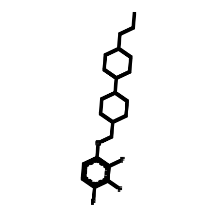 CCCC1CCC(C2CCC(COc3ccc(F)c(F)c3F)CC2)CC1